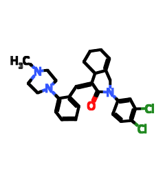 CN1CCN(c2ccccc2C=C2C(=O)N(c3ccc(Cl)c(Cl)c3)CC3=CCCCC32)CC1